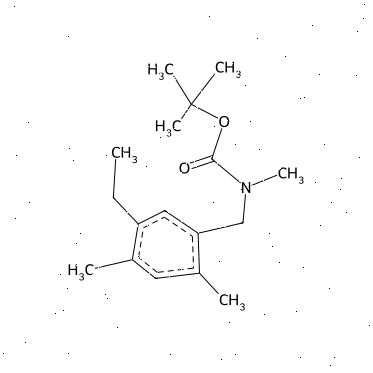 CCc1cc(CN(C)C(=O)OC(C)(C)C)c(C)cc1C